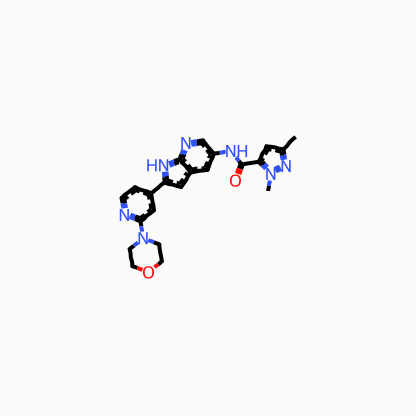 Cc1cc(C(=O)Nc2cnc3[nH]c(-c4ccnc(N5CCOCC5)c4)cc3c2)n(C)n1